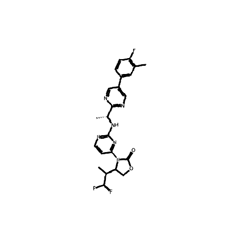 Cc1cc(-c2cnc([C@@H](C)Nc3nccc(N4C(=O)OCC4C(C)C(F)F)n3)nc2)ccc1F